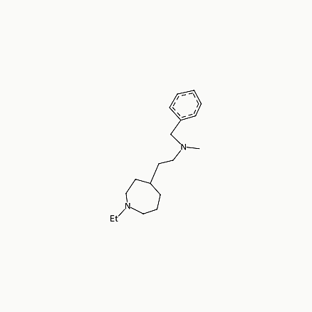 CCN1CCCC(CCN(C)Cc2ccccc2)CC1